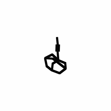 CC#CC12CC3CC(CC(C3)C1)C2